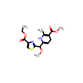 CCOC(=O)c1csc(C(OC)C2=CCC(C(=O)OC)=C(C)N2)n1